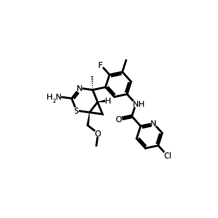 COC[C@]12C[C@H]1[C@](C)(c1cc(NC(=O)c3ccc(Cl)cn3)cc(C)c1F)N=C(N)S2